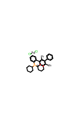 CC(C)c1cc(C(C)C)c(-c2ccccc2P(C2CCCCC2)C2CCCCC2)c(C(C)C)c1-c1ccccc1.[Cl][Pd][Cl]